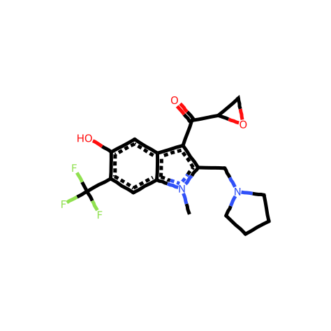 Cn1c(CN2CCCC2)c(C(=O)C2CO2)c2cc(O)c(C(F)(F)F)cc21